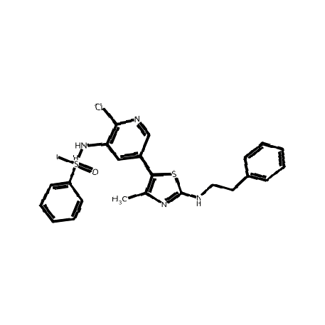 Cc1nc(NCCc2ccccc2)sc1-c1cnc(Cl)c(N[SH](=O)(I)c2ccccc2)c1